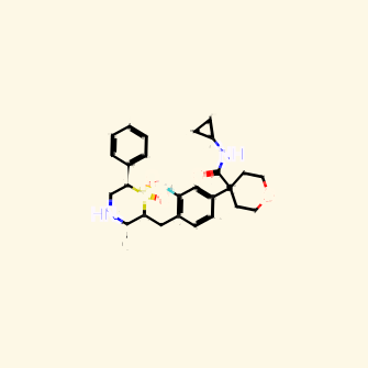 C[C@@H]1NC[C@@H](c2ccccc2)S(=O)(=O)C1Cc1ccc(C2(C(=O)NC3CC3)CCOCC2)cc1F